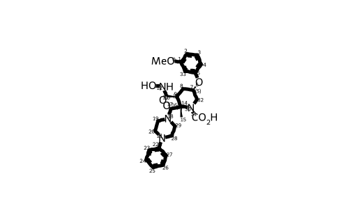 COc1cccc(O[C@H]2C[C@H](C(=O)NO)[C@@](C)(C(=O)N3CCN(c4ccccc4)CC3)N(C(=O)O)C2)c1